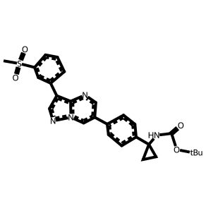 CC(C)(C)OC(=O)NC1(c2ccc(-c3cnc4c(-c5cccc(S(C)(=O)=O)c5)cnn4c3)cc2)CC1